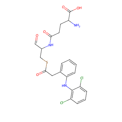 NC(CCC(=O)NC(C=O)CSC(=O)Cc1ccccc1Nc1c(Cl)cccc1Cl)C(=O)O